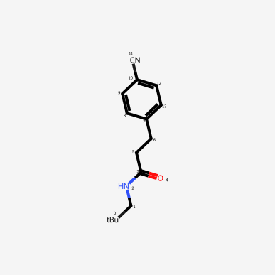 CC(C)(C)CNC(=O)CCc1ccc(C#N)cc1